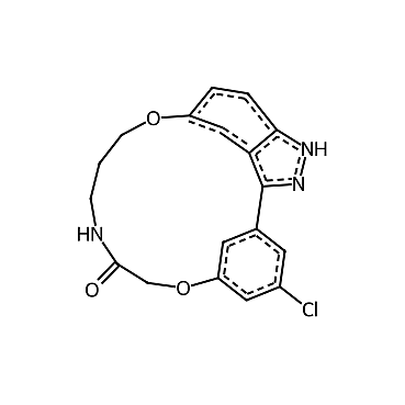 O=C1COc2cc(Cl)cc(c2)-c2n[nH]c3ccc(cc23)OCCCN1